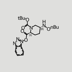 CCCCON[C@@H]1CC[C@@H](C(=O)On2nnc3ccccc32)N(C(=O)OC(C)(C)C)C1